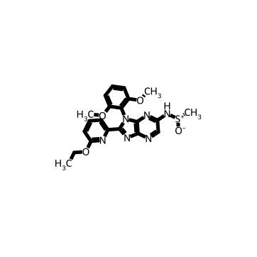 CCOc1cccc(-c2nc3ncc(N[S+](C)[O-])nc3n2-c2c(OC)cccc2OC)n1